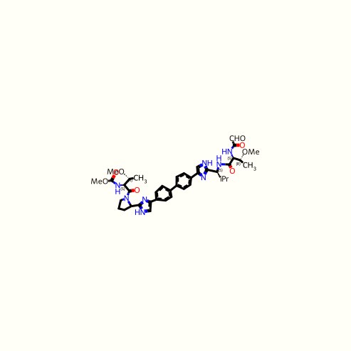 COC(=O)N[C@H](C(=O)N1CCCC1c1nc(-c2ccc(-c3ccc(-c4c[nH]c([C@@H](NC(=O)[C@@H](NC(=O)C=O)[C@@H](C)OC)C(C)C)n4)cc3)cc2)c[nH]1)[C@@H](C)OC